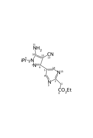 CCOC(=O)Cc1ncc(-c2nn(C(C)C)c(N)c2C#N)cn1